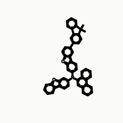 CC1(C)c2ccccc2-c2cc(-c3ccc4oc5cc(N(c6ccc7c(c6)oc6ccccc67)c6cc7ccccc7c7ccccc67)ccc5c4c3)ccc21